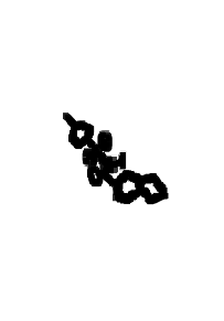 Cc1ccc(S(=O)(=O)NC(=O)c2ccc3ccccc3c2)cc1